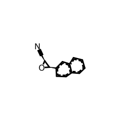 N#C[C@@H]1O[C@@H]1c1ccc2ccccc2c1